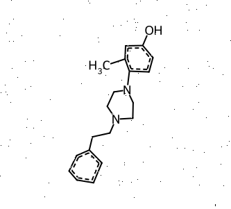 Cc1cc(O)ccc1N1CCN(CCc2ccccc2)CC1